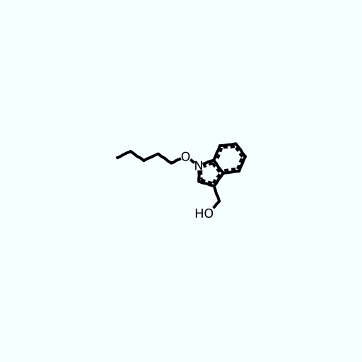 CCCCCOn1cc(CO)c2ccccc21